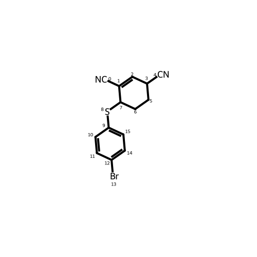 N#CC1=CC(C#N)CCC1Sc1ccc(Br)cc1